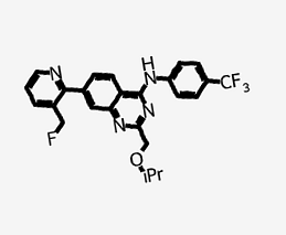 CC(C)OCc1nc(Nc2ccc(C(F)(F)F)cc2)c2ccc(-c3ncccc3CF)cc2n1